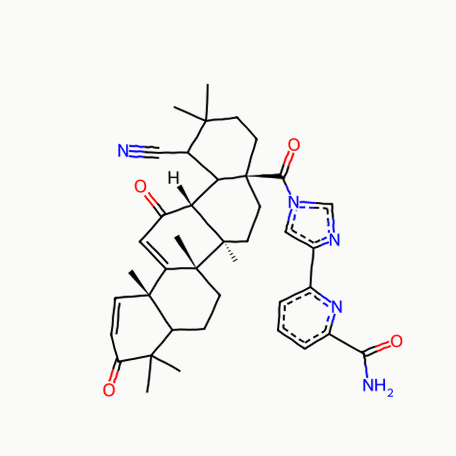 CC1(C)CC[C@]2(C(=O)n3cnc(-c4cccc(C(N)=O)n4)c3)CC[C@]3(C)[C@H](C(=O)C=C4[C@@]5(C)C=CC(=O)C(C)(C)C5CC[C@]43C)C2C1C#N